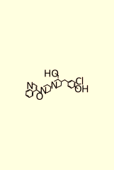 O=C(c1ccnc2ccccc12)N1CCC(N2CCC(Cc3ccc(O)c(Cl)c3)[C@H](CO)C2)CC1